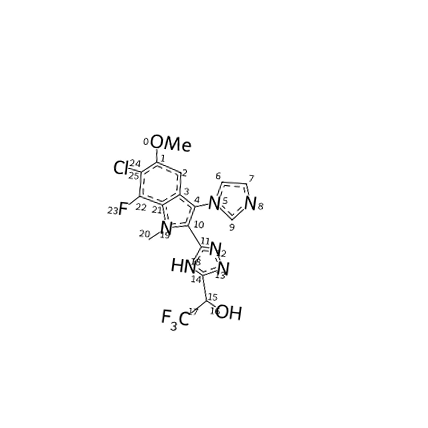 COc1cc2c(-n3ccnc3)c(-c3nnc(C(O)C(F)(F)F)[nH]3)n(C)c2c(F)c1Cl